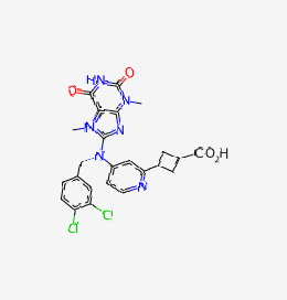 Cn1c(N(Cc2ccc(Cl)c(Cl)c2)c2ccnc(C3CC(C(=O)O)C3)c2)nc2c1c(=O)[nH]c(=O)n2C